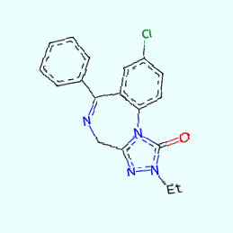 CCn1nc2n(c1=O)-c1ccc(Cl)cc1C(c1ccccc1)=NC2